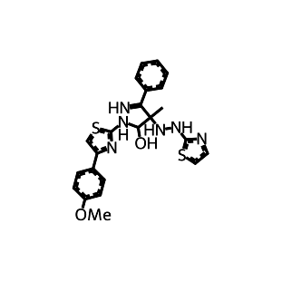 COc1ccc(-c2csc(NC(O)C(C)(NNc3nccs3)C(=N)c3ccccc3)n2)cc1